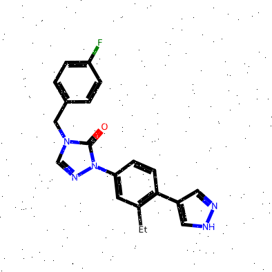 CCc1cc(-n2ncn(Cc3ccc(F)cc3)c2=O)ccc1-c1cn[nH]c1